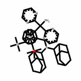 C[Si](C)(C)[C]12[CH]3[C]4(C(P)(c5ncccn5)c5ncccn5)[C]5(CP(C6C7CC8CC(C7)CC6C8)C6C7CC8CC(C7)CC6C8)[C]1([Si](C)(C)C)[Fe]35421678[CH]2[CH]1[CH]6[CH]7[CH]28